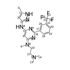 Cc1cc(Nc2cc(N(C)CCN(C)C)nc(-c3cccc(C(F)(F)F)c3)n2)n[nH]1